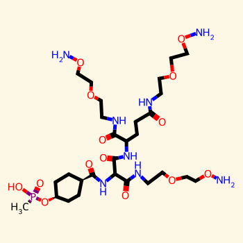 CP(=O)(O)O[C@H]1CC[C@@H](C(=O)NC(C(=O)NCCOCCON)C(=O)NC(CCC(=O)NCCOCCON)C(=O)NCCOCCON)CC1